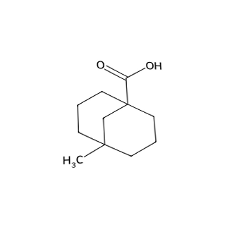 CC12CCCC(C(=O)O)(CCC1)C2